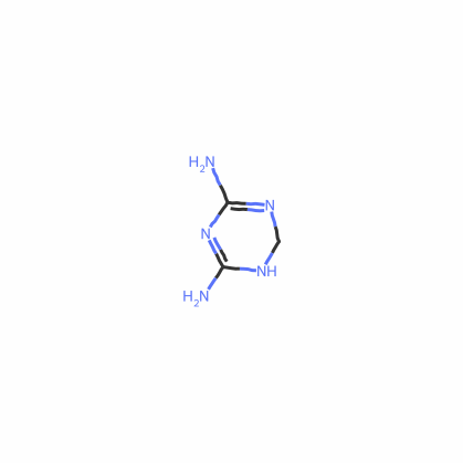 NC1=NCNC(N)=N1